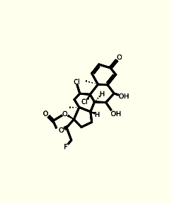 CC(=O)O[C@]1(C(=O)CF)CC[C@H]2[C@@H]3C(O)C(O)C4=CC(=O)C=C[C@]4(C)[C@@]3(Cl)C(Cl)C[C@@]21C